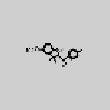 CCC(c1ccc(C)cc1)C1Nc2ccc(OC)cc2C1(C)C